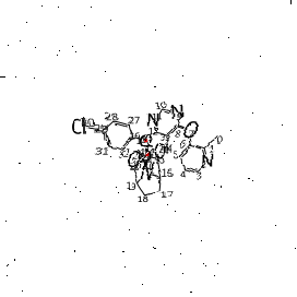 Cc1ncccc1Oc1ncnc(OC2CC3CCC(C2)N3S(=O)(=O)Cc2ccc(Cl)cc2)c1C